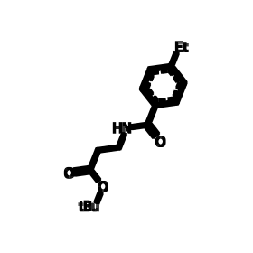 CCc1ccc(C(=O)NCCC(=O)OC(C)(C)C)cc1